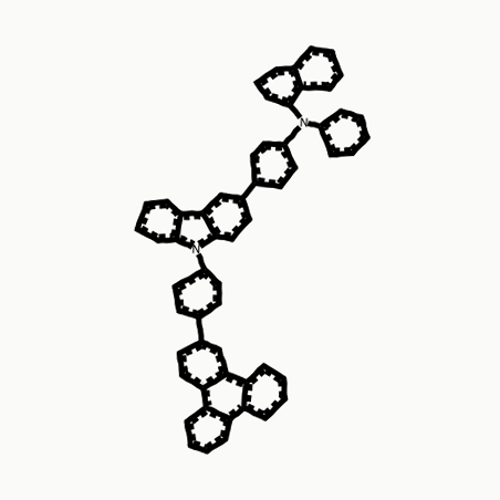 c1ccc(N(c2ccc(-c3ccc4c(c3)c3ccccc3n4-c3ccc(-c4ccc5c6ccccc6c6ccccc6c5c4)cc3)cc2)c2cccc3ccccc23)cc1